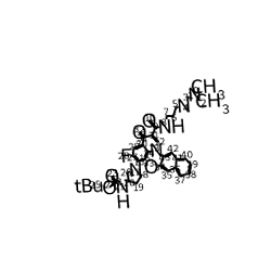 CN(C)/C=N/CCCNC(=O)c1cn2c3c(c(N4CC[C@@H](NC(=O)OC(C)(C)C)C4)c(F)cc3c1=O)Oc1cc3ccccc3cc1-2